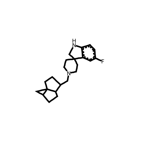 Fc1ccc2c(c1)C1(CCN(CC3CCC45CC4CCC35)CC1)CN2